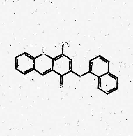 O=c1c(Sc2cccc3ccccc23)cc([N+](=O)[O-])c2[nH]c3ccccc3cc1-2